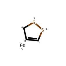 C1=CSSC1.[Fe]